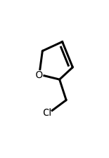 ClCC1C=CCO1